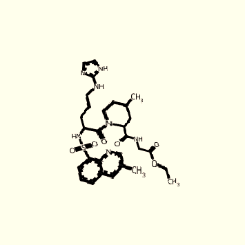 CCOC(=O)CNC(=O)C1CC(C)CCN1C(=O)C(CCCNc1ncc[nH]1)NS(=O)(=O)c1cccc2cc(C)cnc12